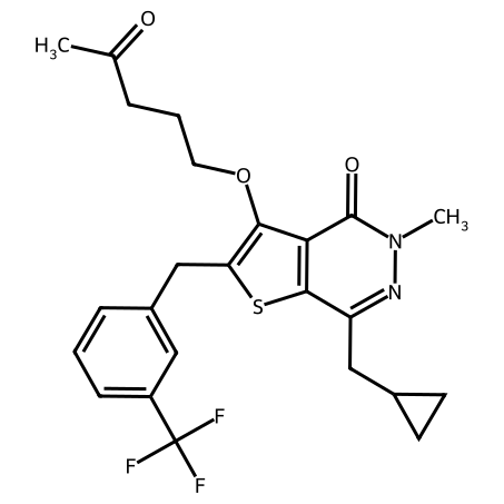 CC(=O)CCCOc1c(Cc2cccc(C(F)(F)F)c2)sc2c(CC3CC3)nn(C)c(=O)c12